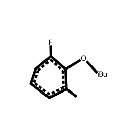 CCC(C)Oc1c(C)cccc1F